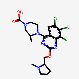 CC1CN(C(=O)O)CCN1c1nc(OCC2CCCN2C)nc2c(F)c(Br)c(Cl)cc12